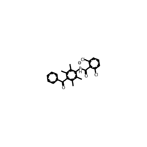 Cc1c(C)c([PH](=O)C(=O)c2c(Cl)cccc2Cl)c(C)c(C)c1C(=O)c1ccccc1